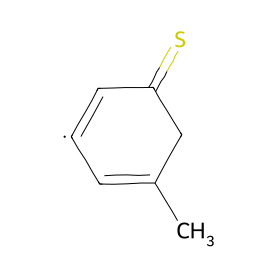 CC1=C[C]=CC(=S)C1